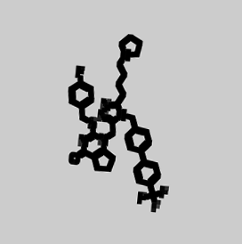 O=c1nc(SCc2ccc(F)cc2)n(Cc2nnc(CCCCN3CCCC3)n2Cc2ccc(-c3ccc(C(F)(F)F)cc3)cc2)c2c1CCC2